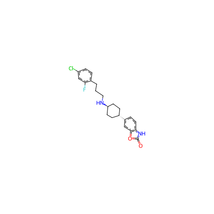 O=c1[nH]c2ccc([C@H]3CC[C@H](NCCCc4ccc(Cl)cc4F)CC3)cc2o1